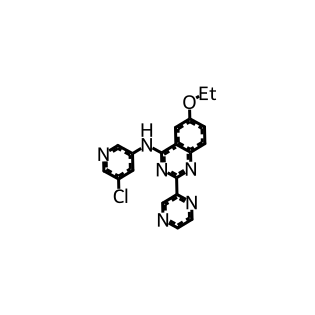 CCOc1ccc2nc(-c3cnccn3)nc(Nc3cncc(Cl)c3)c2c1